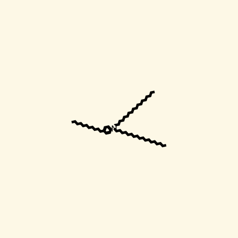 CCCCCCCCCCCCCCCCCCN(CCCCCCCCCCCCCCCCCC)c1ccc(CCCCCCCCCCC)cc1